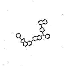 c1ccc(-c2nc3c(ccc4ccc(-c5ccc6cc(N(c7ccccc7)c7ccc(-c8cccc9ccccc89)cc7)ccc6c5)cc43)o2)cc1